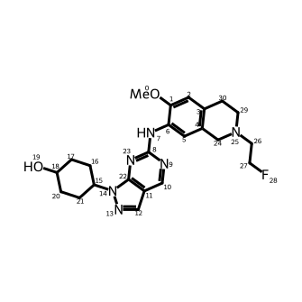 COc1cc2c(cc1Nc1ncc3cnn(C4CCC(O)CC4)c3n1)CN(CCF)CC2